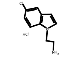 Cl.NCCn1ccc2cc(Cl)ccc21